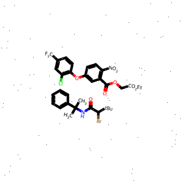 CC(C)(NC(=O)C(Br)C(C)(C)C)c1ccccc1.CCOC(=O)COC(=O)c1cc(Oc2ccc(C(F)(F)F)cc2Cl)ccc1[N+](=O)[O-]